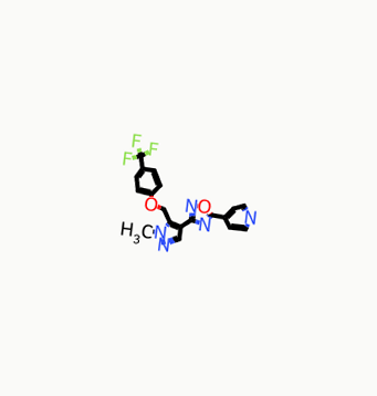 Cn1ncc(-c2noc(-c3ccncc3)n2)c1COc1ccc(C(F)(F)F)cc1